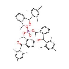 Cc1cc(C)c(C(=O)c2ccccc2C(C)OP(=O)(OC(C)c2ccccc2C(=O)c2c(C)cc(C)cc2C)OC(C)c2ccccc2C(=O)c2c(C)cc(C)cc2C)c(C)c1